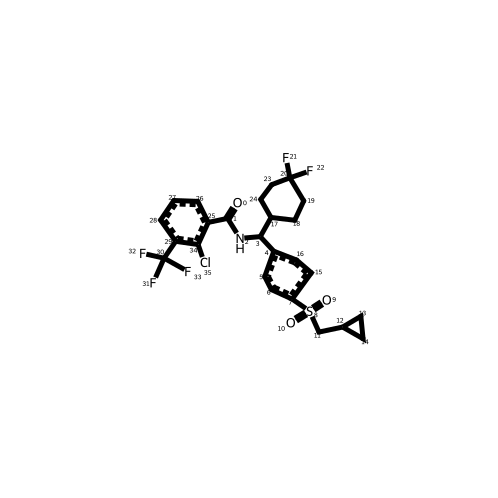 O=C(NC(c1ccc(S(=O)(=O)CC2CC2)cc1)C1CCC(F)(F)CC1)c1cccc(C(F)(F)F)c1Cl